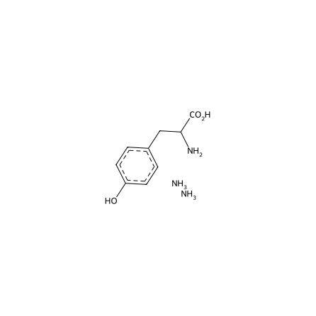 N.N.NC(Cc1ccc(O)cc1)C(=O)O